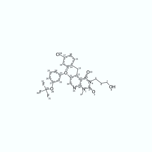 Cn1c(=O)n(CCCO)c(=O)c2c(Cc3ccc(Cl)cc3)c(Oc3cccc(OC(F)(F)F)c3)cnc21